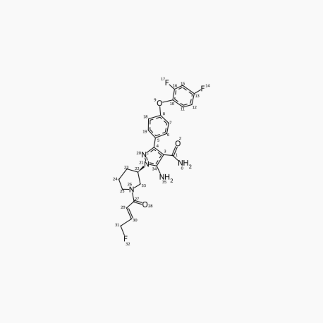 NC(=O)c1c(-c2ccc(Oc3ccc(F)cc3F)cc2)nn([C@@H]2CCCN(C(=O)C=CCF)C2)c1N